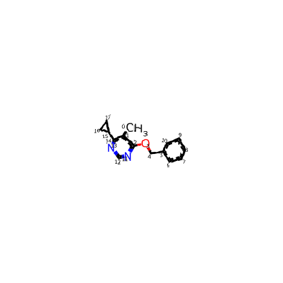 Cc1c(OCc2ccccc2)ncnc1C1CC1